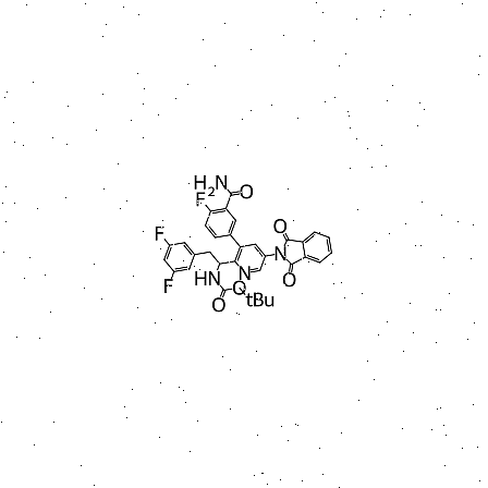 CC(C)(C)OC(=O)NC(Cc1cc(F)cc(F)c1)c1ncc(N2C(=O)c3ccccc3C2=O)cc1-c1ccc(F)c(C(N)=O)c1